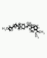 Cc1coc(-c2ccc(S(=O)(=O)N3CCN(C[C@H](C)Nc4ncnc5c(C(C)C)cccc45)CC3)s2)c1